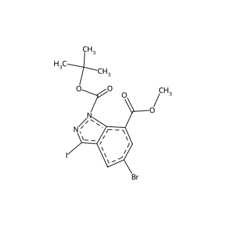 COC(=O)c1cc(Br)cc2c(I)nn(C(=O)OC(C)(C)C)c12